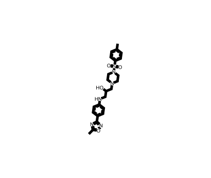 Cc1ccc(S(=O)(=O)N2CCN(CC(O)CNc3ccc(-c4noc(C)n4)cc3)CC2)cc1